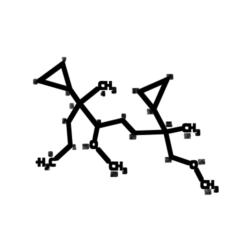 [CH2]CCC(C)(C1CC1)C(CCC(C)(COC)C1CC1)OC